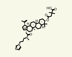 C=C(C)[C@@H]1CC[C@]2(CC(=O)N(C)CCCn3ccnc3)CC[C@]3(C)[C@H](CC[C@@H]4[C@@]5(C)CC[C@H](OC(=O)CC(C)(C)C(=O)O)C(C)(C)[C@@H]5CC[C@]43C)[C@@H]12